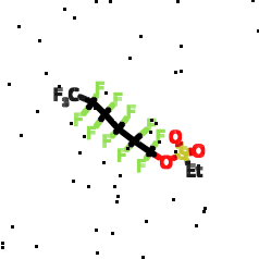 CCS(=O)(=O)OC(F)(F)C(F)(F)C(F)(F)C(F)(F)C(F)(F)C(F)(F)F